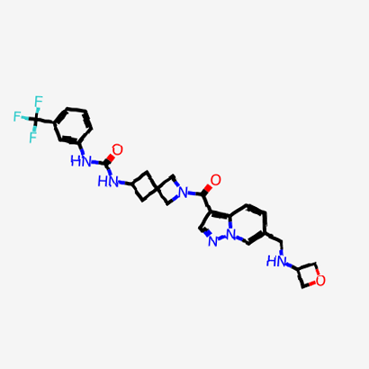 O=C(Nc1cccc(C(F)(F)F)c1)NC1CC2(C1)CN(C(=O)c1cnn3cc(CNC4COC4)ccc13)C2